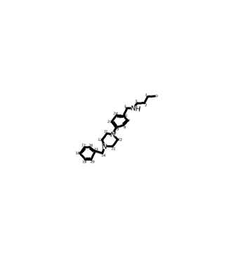 CCCCNCc1ccc(N2CCN(Cc3ccccc3)CC2)cc1